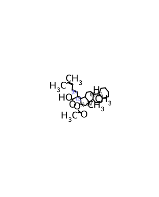 CC(=O)O[C@H]1C[C@@]2(C)C(CC[C@@H]3C2CCC2CCCC[C@@]23C)/C1=C(\C=C\C=C(C)C)C(=O)O